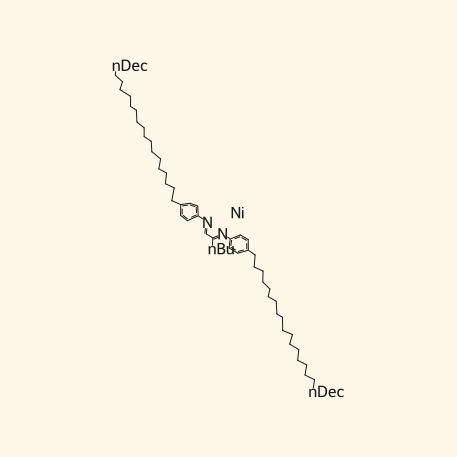 CCCCCCCCCCCCCCCCCCCCCCCCCCCc1ccc(N=CC(CCCC)=Nc2ccc(CCCCCCCCCCCCCCCCCCCCCCCCCCC)cc2)cc1.[Ni]